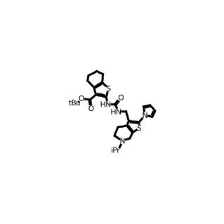 CC(C)N1CCc2c(sc(-n3cccc3)c2CNC(=O)Nc2sc3c(c2C(=O)OC(C)(C)C)CCCC3)C1